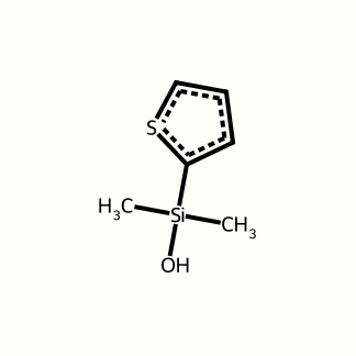 C[Si](C)(O)c1cccs1